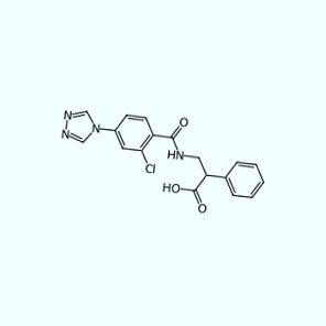 O=C(NCC(C(=O)O)c1ccccc1)c1ccc(-n2cnnc2)cc1Cl